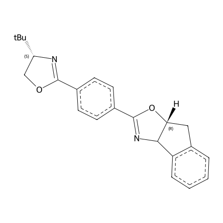 CC(C)(C)[C@H]1COC(c2ccc(C3=NC4c5ccccc5C[C@H]4O3)cc2)=N1